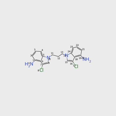 Nc1cccc2c1c(Cl)cn2CCCn1cc(Cl)c2c(N)cccc21